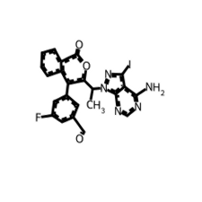 CC(c1oc(=O)c2ccccc2c1-c1cc(F)cc(C=O)c1)n1nc(I)c2c(N)ncnc21